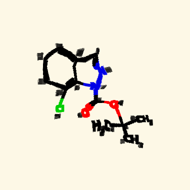 CC(C)(C)OC(=O)n1ncc2cccc(Cl)c21